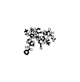 C=CCOP(=O)(OCCC#N)O[C@H]1[C@@H](O[Si](C)(C)C(C)(C)C)[C@H](n2cnc3c(NC(=O)c4ccccc4)ncnc32)O[C@@H]1COP(=O)(O)OC(CCC#N)[C@H]1O[C@@H](n2cnc3c(=O)[nH]c(N=CN(C)C)nc32)[C@H](O[Si](C)(C)C(C)(C)C)[C@@H]1O